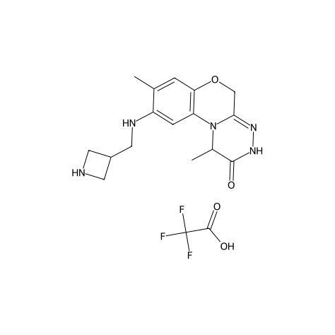 Cc1cc2c(cc1NCC1CNC1)N1C(=NNC(=O)C1C)CO2.O=C(O)C(F)(F)F